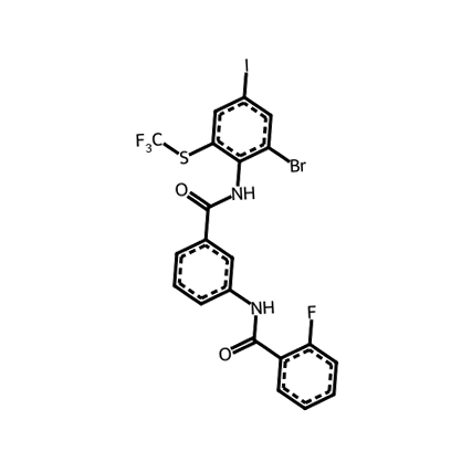 O=C(Nc1c(Br)cc(I)cc1SC(F)(F)F)c1cccc(NC(=O)c2ccccc2F)c1